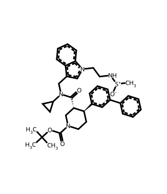 C[S+]([O-])NCCn1cc(CN(C(=O)[C@H]2CN(C(=O)OC(C)(C)C)CC[C@@H]2c2cccc(-c3ccccc3)c2)C2CC2)c2ccccc21